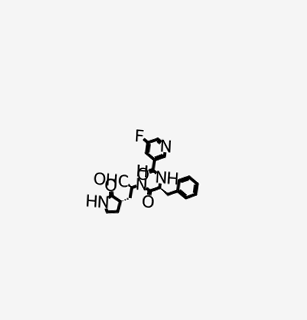 O=C[C@H](C[C@@H]1CCNC1=O)NC(=O)[C@H](Cc1ccccc1)NC(=O)c1cncc(F)c1